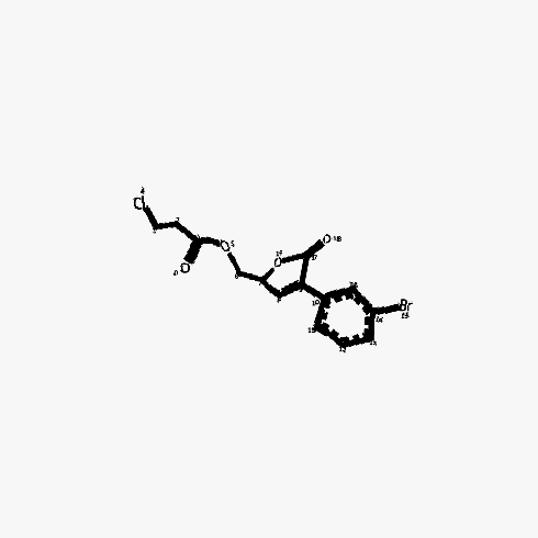 O=C(CCCl)OCC1C=C(c2cccc(Br)c2)C(=O)O1